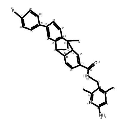 Cc1cc(N)nc(C)c1CNC(=O)C1=CC2C(C=C1)C1OC2(C)c2ccc(-c3ccc(F)cc3)cc21